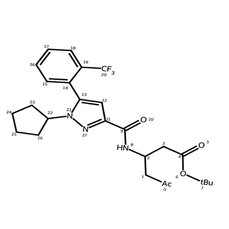 CC(=O)CC(CC(=O)OC(C)(C)C)NC(=O)c1cc(-c2ccccc2C(F)(F)F)n(C2CCCC2)n1